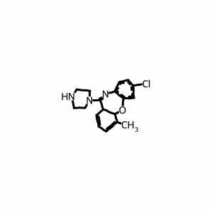 CC1=CC=CC2C(N3CCNCC3)=Nc3ccc(Cl)cc3OC12